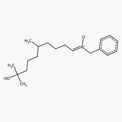 CC(CCCC=[N+]([O-])Cc1ccccc1)CCCC(C)(C)O